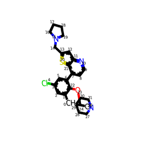 Cc1cc(Cl)cc(-c2ccnc3cc(CN4CCCC4)sc23)c1OC1CN2CCC1CC2